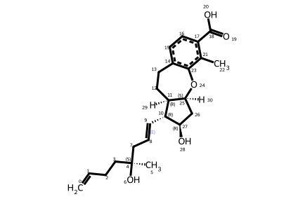 C=CCC[C@](C)(O)C/C=C/[C@@H]1[C@H]2CCc3ccc(C(=O)O)c(C)c3O[C@H]2C[C@H]1O